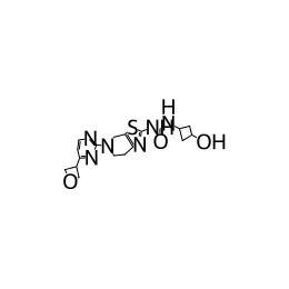 O=C(Nc1nc2c(s1)CN(c1nccc(C3COC3)n1)CC2)NC1CC(O)C1